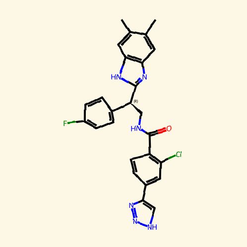 Cc1cc2nc([C@@H](CNC(=O)c3ccc(-c4c[nH]nn4)cc3Cl)c3ccc(F)cc3)[nH]c2cc1C